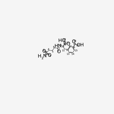 NS(=O)(=O)CCCC(=O)N[C@H]1Cc2cccc(C(=O)O)c2OB1O